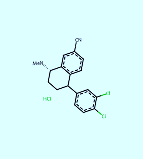 CN[C@H]1CCC(c2ccc(Cl)c(Cl)c2)c2ccc(C#N)cc21.Cl